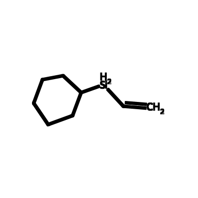 C=C[SiH2]C1CCCCC1